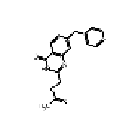 CC(=S)OCc1nc2cc(Cc3ccccc3)ccc2c(=O)[nH]1